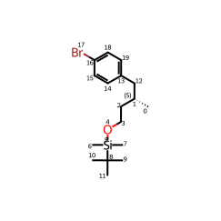 C[C@H](CCO[Si](C)(C)C(C)(C)C)Cc1ccc(Br)cc1